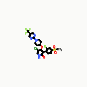 CS(=O)(=O)c1ccc(-c2c(OC3CCN(c4ncc(C(F)(F)F)cn4)CC3)c(Cl)c[nH]c2=O)c(F)c1